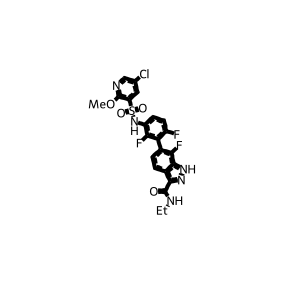 CCNC(=O)c1n[nH]c2c(F)c(-c3c(F)ccc(NS(=O)(=O)c4cc(Cl)cnc4OC)c3F)ccc12